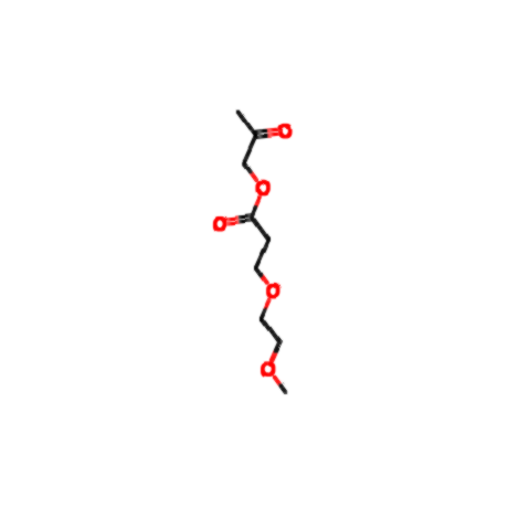 COCCOCCC(=O)OCC(C)=O